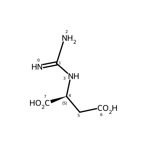 N=C(N)N[C@@H](CC(=O)O)C(=O)O